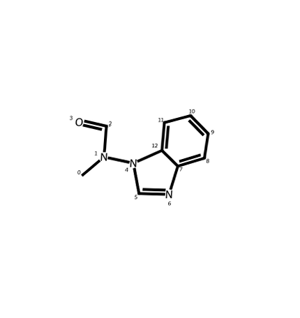 CN([C]=O)n1cnc2ccccc21